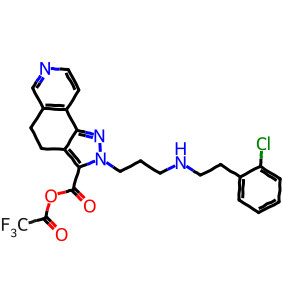 O=C(OC(=O)C(F)(F)F)c1c2c(nn1CCCNCCc1ccccc1Cl)-c1ccncc1CC2